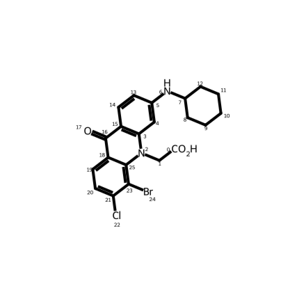 O=C(O)Cn1c2cc(NC3CCCCC3)ccc2c(=O)c2ccc(Cl)c(Br)c21